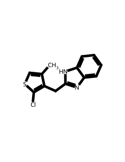 Cc1csc(Cl)c1[CH]c1nc2ccccc2[nH]1